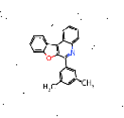 Cc1cc(C)cc(-c2nc3ccccc3c3c2oc2ccccc23)c1